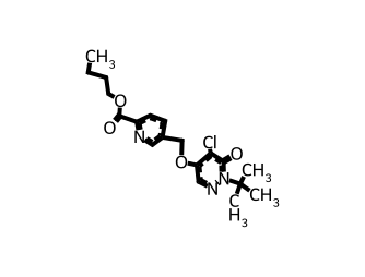 CCCCOC(=O)c1ccc(COc2cnn(C(C)(C)C)c(=O)c2Cl)cn1